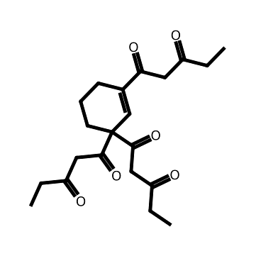 CCC(=O)CC(=O)C1=CC(C(=O)CC(=O)CC)(C(=O)CC(=O)CC)CCC1